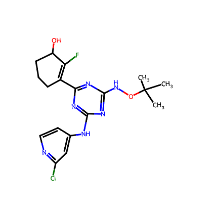 CC(C)(C)ONc1nc(Nc2ccnc(Cl)c2)nc(C2=C(F)C(O)CCC2)n1